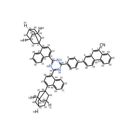 N#Cc1cc2cc(-c3ccc(-c4nc(-c5ccc(C67C[C@H]8C[C@@H](C6)C[C@@H](C7)C8)c6ccccc56)nc(-c5ccc(C67C[C@H]8C[C@@H](C6)C[C@@H](C7)C8)c6ccccc56)n4)cc3)ccc2c2ccccc12